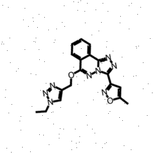 CCn1cc(COc2nn3c(-c4cc(C)on4)nnc3c3ccccc23)nn1